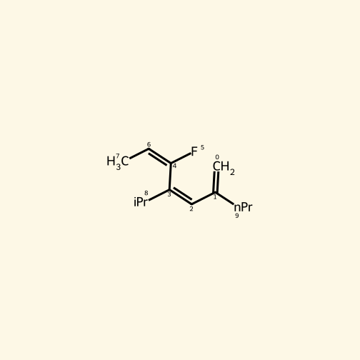 C=C(/C=C(\C(F)=C/C)C(C)C)CCC